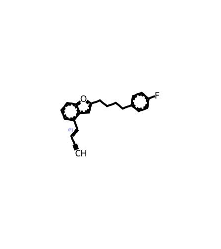 C#C/C=C/c1cccc2oc(CCCCc3ccc(F)cc3)cc12